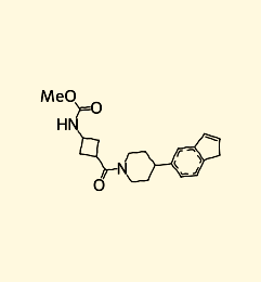 COC(=O)NC1CC(C(=O)N2CCC(c3ccc4c(c3)C=CC4)CC2)C1